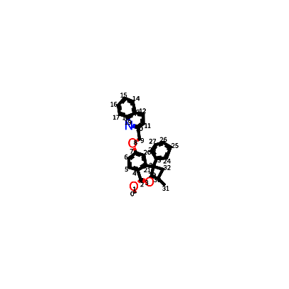 COC(=O)c1ccc(OCc2ccc3ccccc3n2)cc1C1(c2ccccc2)CC(C)C1